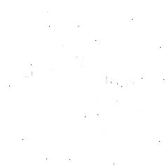 CCOC1CC(c2ccccc2)OC2(CCN(C(=O)c3ccc(C4CC4)cc3)CC2)C1